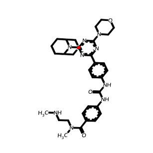 CNCCN(C)C(=O)c1ccc(NC(=O)Nc2ccc(-c3nc(N4CCOCC4)nc(N4C5CCCC4COC5)n3)cc2)cc1